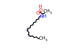 CCCCC/C=C\C/C=C\CCCCCCCCNC(CC)C(=O)O